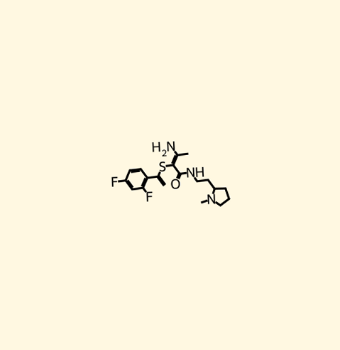 C=C(S/C(C(=O)NCCC1CCCN1C)=C(/C)N)c1ccc(F)cc1F